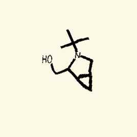 CC(C)(C)N1CC2CC2C1CO